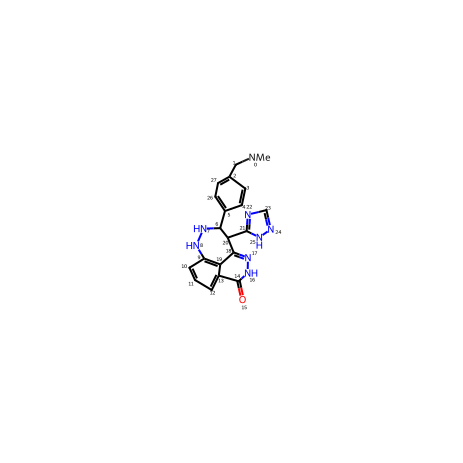 CNCc1ccc(C2NNc3cccc4c(=O)[nH]nc(c34)C2c2ncn[nH]2)cc1